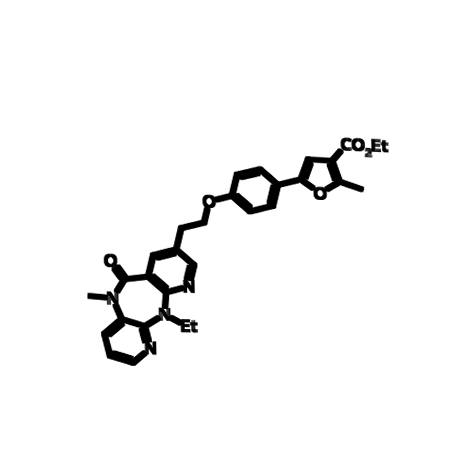 CCOC(=O)c1cc(-c2ccc(OCCc3cnc4c(c3)C(=O)N(C)c3cccnc3N4CC)cc2)oc1C